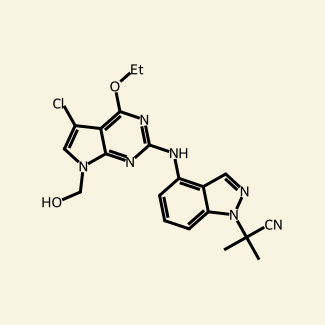 CCOc1nc(Nc2cccc3c2cnn3C(C)(C)C#N)nc2c1c(Cl)cn2CO